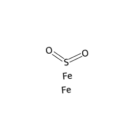 O=S=O.[Fe].[Fe]